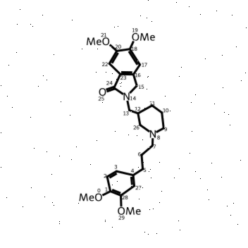 COc1ccc(CCCN2CCCC(CN3Cc4cc(OC)c(OC)cc4C3=O)C2)cc1OC